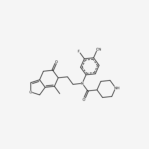 CC1=C2COC=C2CC(=O)C1CCN(C(=O)C1CCNCC1)c1ccc(C#N)c(F)c1